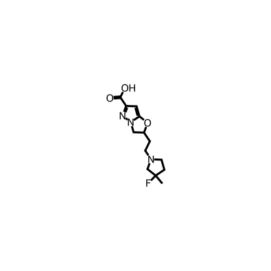 CC1(F)CCN(CCC2Cn3nc(C(=O)O)cc3O2)C1